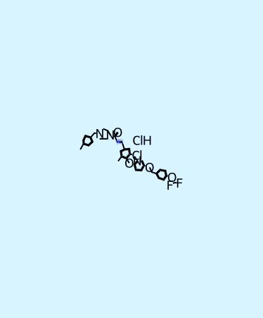 Cc1ccc(CN2CCN(C(=O)/C=C/c3cc(C)c(Oc4ccc(OCc5ccc(OC(F)F)cc5)cn4)c(Cl)c3)CC2)cc1.Cl